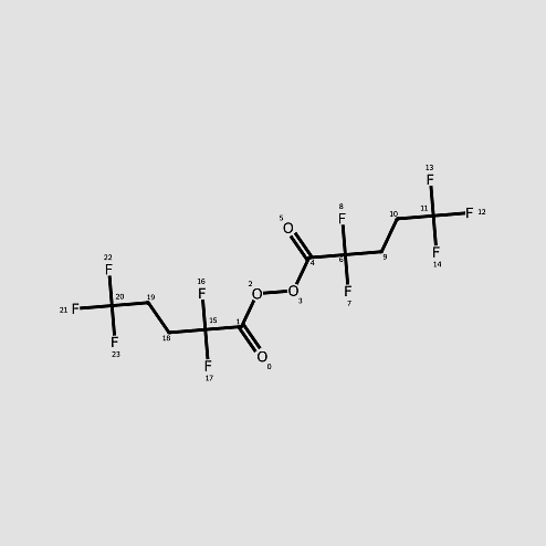 O=C(OOC(=O)C(F)(F)CCC(F)(F)F)C(F)(F)CCC(F)(F)F